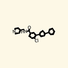 O=C(NCc1ccncc1)c1ccc(Cl)c(-c2ccc(-c3ccccc3)cc2)c1